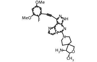 COc1cc(C#Cc2n[nH]c3nc(N4CCC5(CC4)CO[C@@H](C)[C@H]5N)n4ccnc4c23)c(F)c(OC)c1